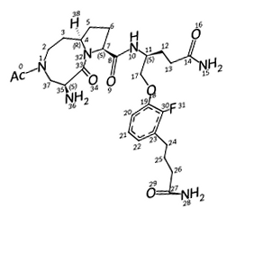 CC(=O)N1CC[C@H]2CC[C@@H](C(=O)N[C@@H](CCC(N)=O)COc3cccc(CCCC(N)=O)c3F)N2C(=O)[C@@H](N)C1